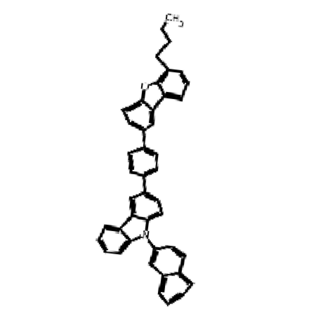 CCCCc1cccc2c1oc1ccc(-c3ccc(-c4ccc5c(c4)c4ccccc4n5-c4ccc5ccccc5c4)cc3)cc12